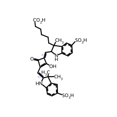 CC1(C)/C(=C\C2=C(O)C(=C\C3Nc4ccc(S(=O)(=O)O)cc4C3(C)CCCCCC(=O)O)/C2=O)Nc2ccc(S(=O)(=O)O)cc21